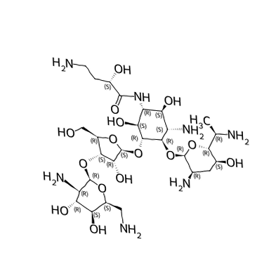 C[C@@H](N)[C@H]1O[C@H](O[C@@H]2[C@@H](N)[C@H](O)[C@@H](NC(=O)[C@@H](O)CCN)[C@H](O)[C@H]2O[C@@H]2O[C@H](CO)[C@@H](O[C@H]3O[C@@H](CN)[C@@H](O)[C@H](O)[C@H]3N)[C@H]2O)[C@H](N)C[C@@H]1O